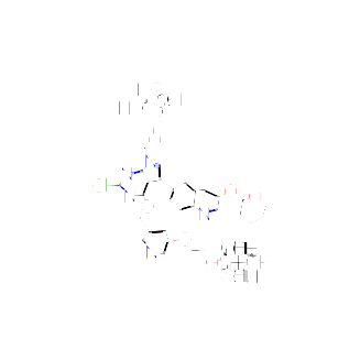 CC(C)(C)[Si](C)(C)OCCOc1cncc(COc2nc(Cl)nc3c2c(-c2ccc4ncc(OC5CCCCO5)cc4c2)cn3COCC[Si](C)(C)C)c1